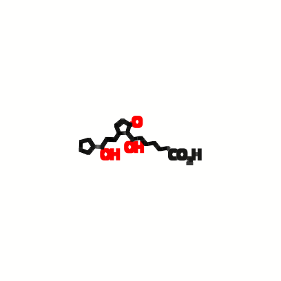 O=C(O)CCCCCC(O)C1C(=O)C=CC1/C=C/C(O)C1CCCC1